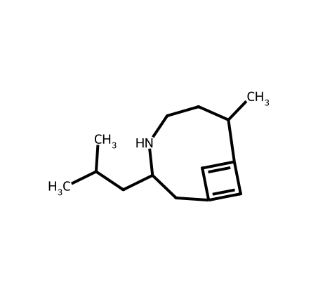 CC(C)CC1CC2=CC(=C2)C(C)CCN1